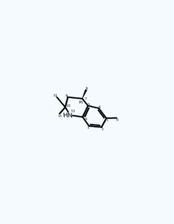 Cc1ccc2c(c1)[C@H](C)CC(C)(C)N2